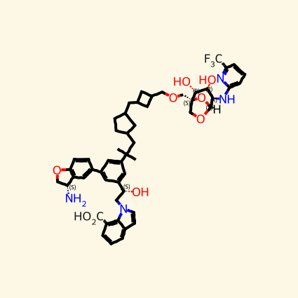 CC(C)(CC1CCC(CC2CC(COC[C@@]34CO[C@@H](O3)[C@H](Nc3cccc(C(F)(F)F)n3)[C@@H](O)[C@H]4O)C2)C1)c1cc(-c2ccc3c(c2)[C@H](N)CO3)cc([C@H](O)Cn2ccc3cccc(C(=O)O)c32)c1